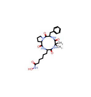 CC1(C)NC(=O)C(CCCCCC(=O)NO)NC(=O)C2CCCN2C(=O)C(Cc2ccccc2)NC1=O